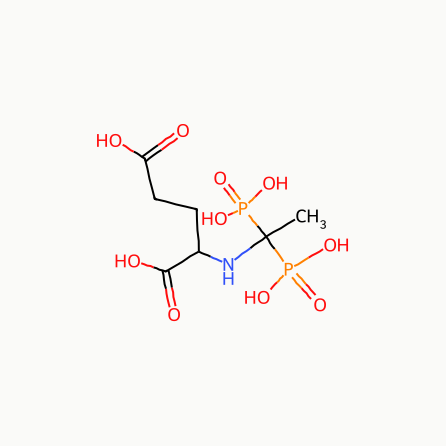 CC(NC(CCC(=O)O)C(=O)O)(P(=O)(O)O)P(=O)(O)O